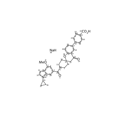 COc1cc(C(=O)N2CCC3(CC2)CC(=O)c2cc(-c4ccc(C(=O)O)nc4)ccc2O3)cc2c1ccn2C1CC1.[NaH]